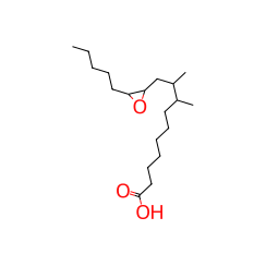 CCCCCC1OC1CC(C)C(C)CCCCCCC(=O)O